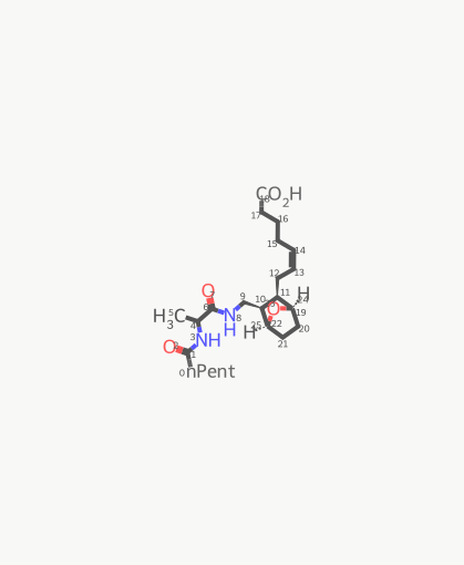 CCCCCC(=O)NC(C)C(=O)NC[C@H]1[C@@H](C/C=C\CCCC(=O)O)[C@H]2CC[C@@H]1O2